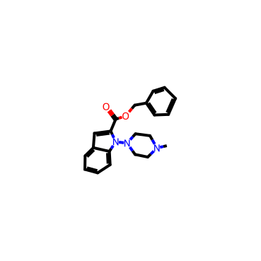 CN1CCN(n2c(C(=O)OCc3ccccc3)cc3ccccc32)CC1